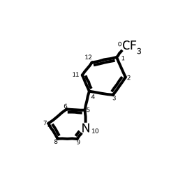 FC(F)(F)c1ccc(-c2c[c]ccn2)cc1